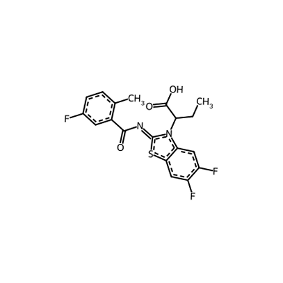 CCC(C(=O)O)n1c(=NC(=O)c2cc(F)ccc2C)sc2cc(F)c(F)cc21